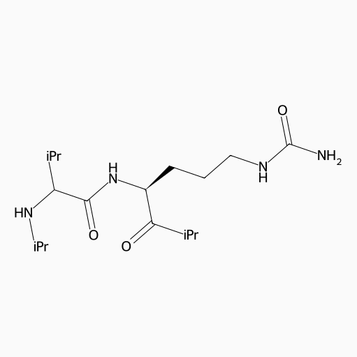 CC(C)NC(C(=O)N[C@@H](CCCNC(N)=O)C(=O)C(C)C)C(C)C